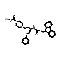 CC(C)(C)OC(=O)N1CCN(CCC(CSc2ccccc2)NC(=O)OCC2c3ccccc3-c3ccccc32)CC1